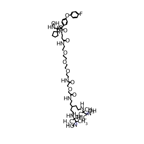 C/C(=N/O)C(C)(C)NCCC(CCNC(=O)COCC(=O)NCCOCCOCCOCCNC(=O)CCN(C1(C(=O)NO)CCCC1)S(=O)(=O)c1ccc(Oc2ccc(F)cc2)cc1)CCNC(C)(C)/C(C)=N\O